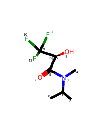 CC(C)N(C)C(=O)[C@H](O)C(F)(F)F